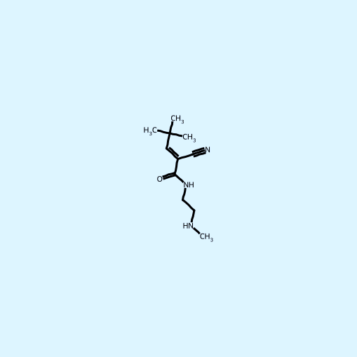 CNCCNC(=O)C(C#N)=CC(C)(C)C